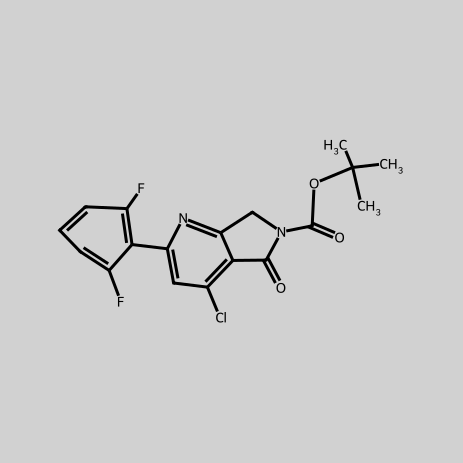 CC(C)(C)OC(=O)N1Cc2nc(-c3c(F)cccc3F)cc(Cl)c2C1=O